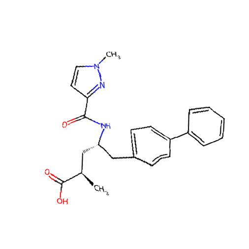 C[C@H](C[C@@H](Cc1ccc(-c2ccccc2)cc1)NC(=O)c1ccn(C)n1)C(=O)O